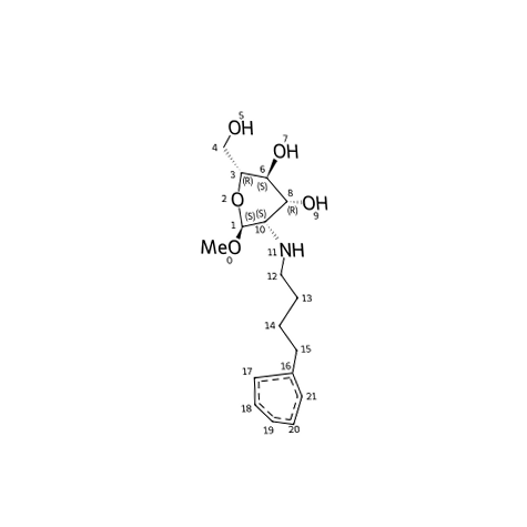 CO[C@H]1O[C@H](CO)[C@@H](O)[C@H](O)[C@@H]1NCCCCc1ccccc1